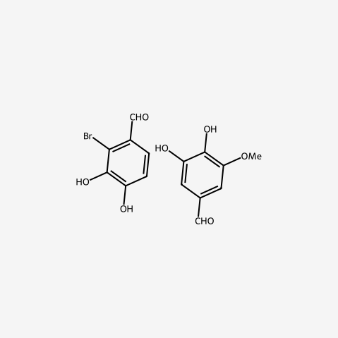 COc1cc(C=O)cc(O)c1O.O=Cc1ccc(O)c(O)c1Br